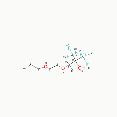 CCCOCCOC(C)(C)C(O)(C(F)(F)F)C(F)(F)F